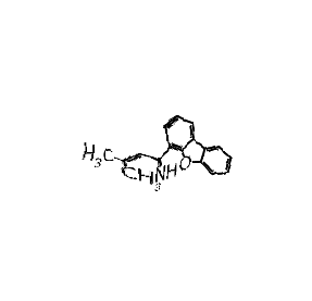 CC(C)=CC(=N)c1cccc2c1oc1ccccc12